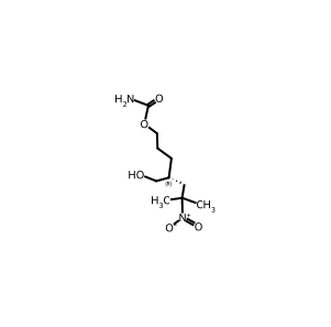 CC(C)(C[C@H](CO)CCCOC(N)=O)[N+](=O)[O-]